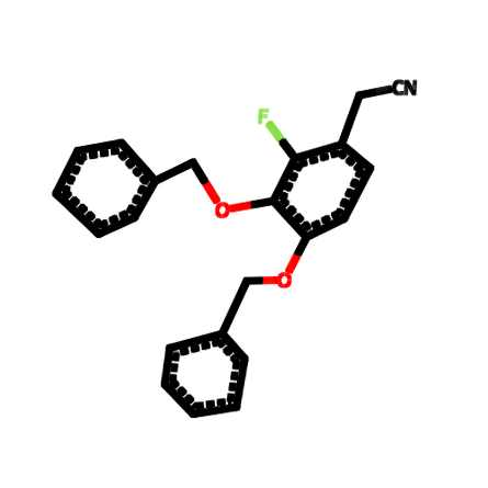 N#CCc1ccc(OCc2ccccc2)c(OCc2ccccc2)c1F